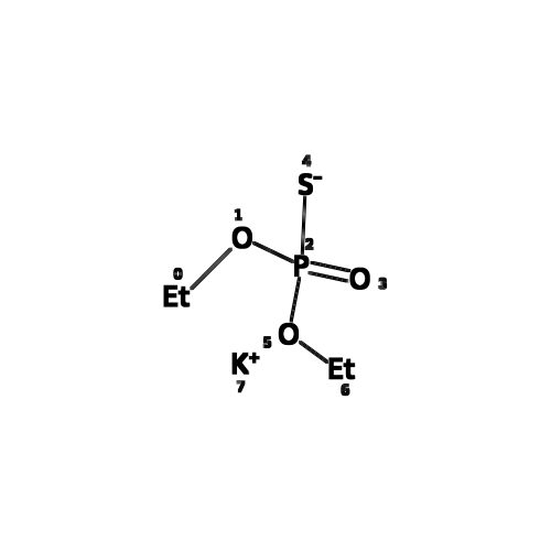 CCOP(=O)([S-])OCC.[K+]